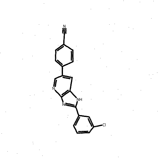 N#Cc1ccc(-c2cnc3nc(-c4cccc(Cl)c4)[nH]c3c2)cc1